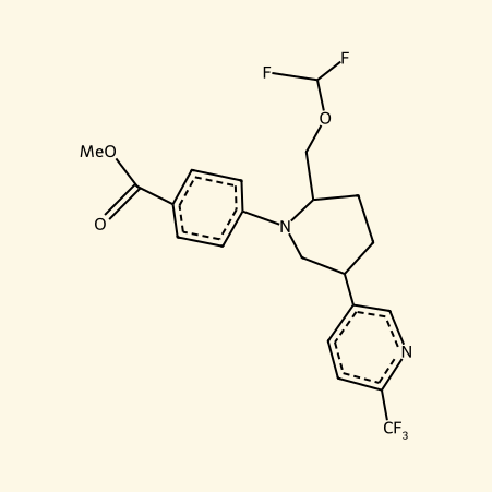 COC(=O)c1ccc(N2CC(c3ccc(C(F)(F)F)nc3)CCC2COC(F)F)cc1